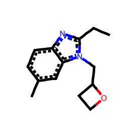 CCc1nc2ccc(C)cc2n1CC1CCO1